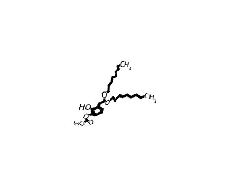 CCCCCCCCCOC(Cc1cccc(OC(=O)O)c1O)OCCCCCCCCC